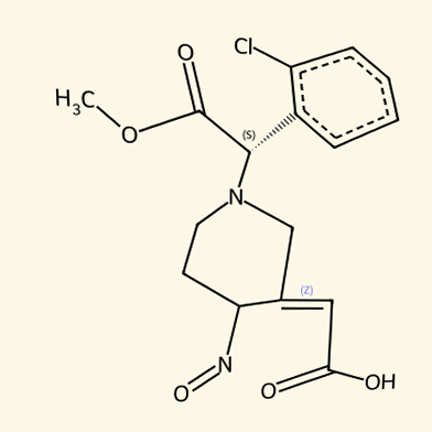 COC(=O)[C@H](c1ccccc1Cl)N1CCC(N=O)/C(=C\C(=O)O)C1